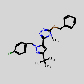 Cn1c(SCc2ccccc2)nnc1-c1cc(C(C)(C)C)nn1Cc1ccc(F)cc1